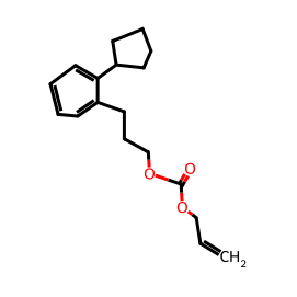 C=CCOC(=O)OCCCc1ccccc1C1CCCC1